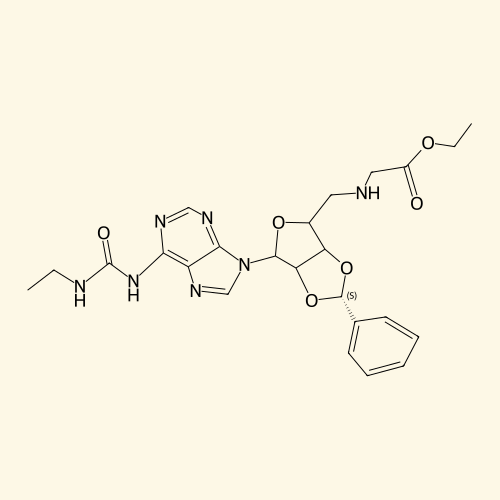 CCNC(=O)Nc1ncnc2c1ncn2C1OC(CNCC(=O)OCC)C2O[C@H](c3ccccc3)OC21